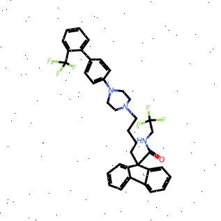 O=C(NCC(F)(F)F)C1(CCCCN2CCN(c3ccc(-c4ccccc4C(F)(F)F)cc3)CC2)c2ccccc2-c2ccccc21